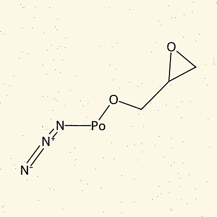 [N-]=[N+]=[N][Po][O]CC1CO1